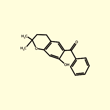 CC1(C)CCc2cc(C(=O)c3ccccc3)c(O)cc2O1